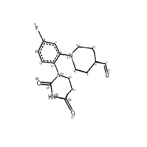 O=CC1CCN(c2cc(F)ccc2N2CCC(=O)NC2=O)CC1